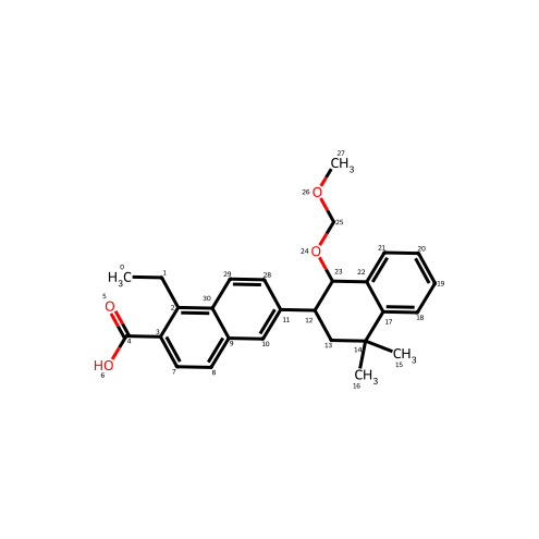 CCc1c(C(=O)O)ccc2cc(C3CC(C)(C)c4ccccc4C3OCOC)ccc12